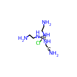 NCC[NH][Pt]([Cl])([NH]CCN)[NH]CCN